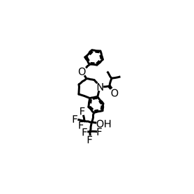 CC(C)C(=O)N1CC(Oc2ccccc2)CCc2cc(C(O)(C(F)(F)F)C(F)(F)F)ccc21